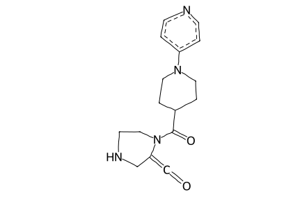 O=C=C1CNCCN1C(=O)C1CCN(c2ccncc2)CC1